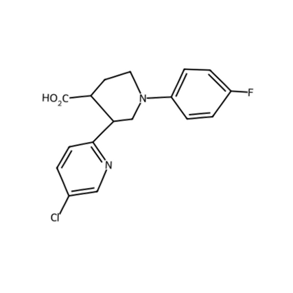 O=C(O)C1CCN(c2ccc(F)cc2)CC1c1ccc(Cl)cn1